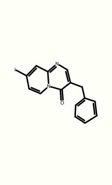 O=c1c(Cc2ccccc2)cnc2cc(I)ccn12